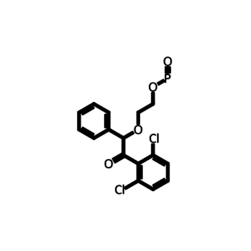 O=POCCOC(C(=O)c1c(Cl)cccc1Cl)c1ccccc1